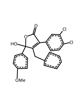 COc1ccc(C2(O)OC(=O)C(c3ccc(Cl)c(Cl)c3)=C2Cc2ccccc2)cc1